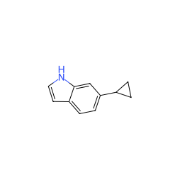 c1cc2ccc(C3CC3)cc2[nH]1